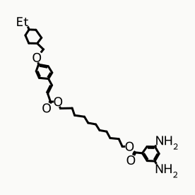 CCC1CCC(COc2ccc(C=CC(=O)OCCCCCCCCCCCOC(=O)c3cc(N)cc(N)c3)cc2)CC1